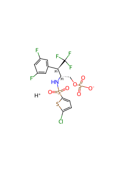 O=S(=O)([O-])OC[C@H](NS(=O)(=O)c1ccc(Cl)s1)[C@@H](c1cc(F)cc(F)c1)C(F)(F)F.[H+]